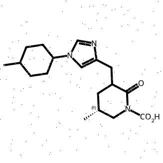 CC1CCC(n2cnc(CC3C[C@@H](C)CN(C(=O)O)C3=O)c2)CC1